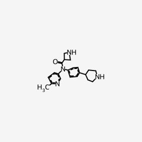 Cc1ccc(N(C(=O)C2CNC2)c2ccc(C3CCNCC3)cc2)cn1